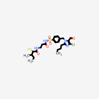 CCCCc1nc(Cl)c(C=O)n1Cc1ccc(S(=O)(=O)NC(=O)CCNC(=O)C(S)C(C)CC)cc1